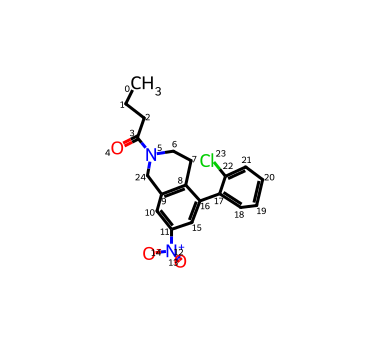 CCCC(=O)N1CCc2c(cc([N+](=O)[O-])cc2-c2ccccc2Cl)C1